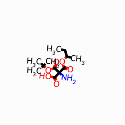 CCC(C)OC(=O)C(N)(C(=O)O)C(=O)OC(C)(C)C